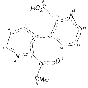 COC(=O)c1ncccc1-c1cccnc1C(=O)O